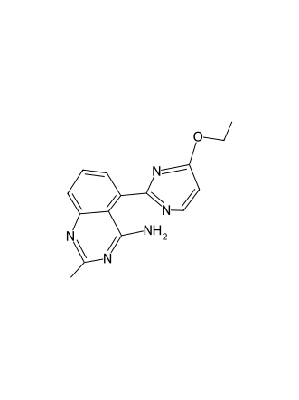 CCOc1ccnc(-c2cccc3nc(C)nc(N)c23)n1